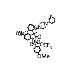 COc1ccc(S(=O)(=O)N2C(=O)C(CC(=O)N3CCN(c4cccnc4)CC3)(c3ccccc3OC)c3cc(Cl)ccc32)c(OC(F)(F)F)c1